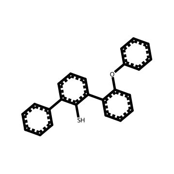 Sc1c(-c2ccccc2)cccc1-c1ccccc1Oc1ccccc1